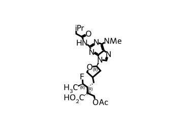 CNc1nc(NC(=O)CC(C)C)nc2c1ncn2[C@H]1CC(C[C@H]([C@H](COC(C)=O)C(=O)O)[C@@H](C)F)CO1